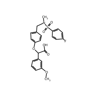 COc1cccc(C(Oc2ccc(CN(C)S(=O)(=O)c3ccc(F)cc3)cc2)C(=O)O)c1